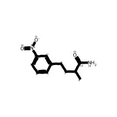 CC(CCc1cccc([N+](=O)[O-])c1)C(N)=O